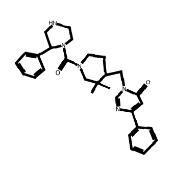 CC1(C)CN(C(=O)N2CCNCC2c2ccccc2)CCC1Cn1cnc(-c2ccccc2)cc1=O